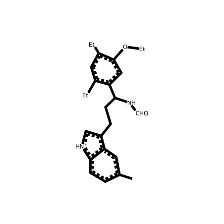 CCOc1cc(C(CCc2c[nH]c3ccc(C)cc23)NC=O)c(CC)cc1CC